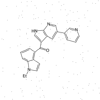 CCn1ccc2c(C(=O)c3c[nH]c4ncc(-c5cccnc5)cc34)cccc21